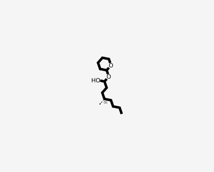 CCCC[C@H](C)CCC(O)OC1CCCCO1